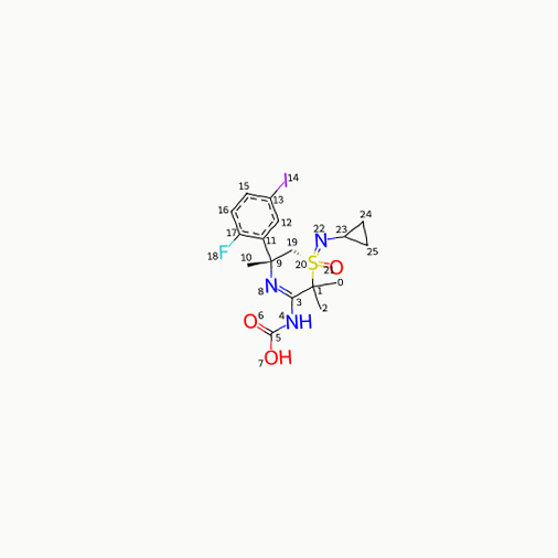 CC1(C)C(NC(=O)O)=N[C@](C)(c2cc(I)ccc2F)C[S@@]1(=O)=NC1CC1